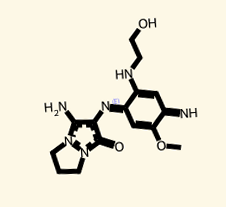 COC1=C/C(=N\c2c(N)n3n(c2=O)CCC3)C(NCCO)=CC1=N